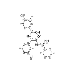 Cc1cc(C(O)NC(C(=O)NC(=N)c2ccccc2)c2cccc(Cl)c2)ccc1Cl